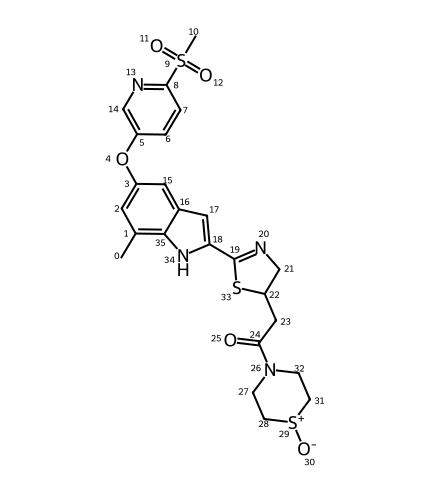 Cc1cc(Oc2ccc(S(C)(=O)=O)nc2)cc2cc(C3=NCC(CC(=O)N4CC[S+]([O-])CC4)S3)[nH]c12